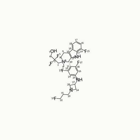 C[N+]1(CC(F)(F)CO)CCc2c([nH]c3c(F)cccc23)[C@@H]1c1c(F)cc(NC2CN(CCCF)C2)cc1F